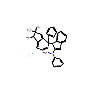 CN(C1=Cc2ccccc2C1C1(c2ccccc2)C=CC=C2C1=CC(C)(C)[CH]2[Zr+2])c1ccccc1.[Cl-].[Cl-]